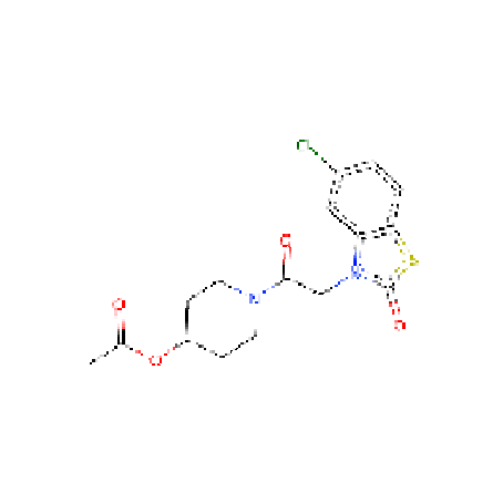 CC(=O)OC1CCN(C(=O)Cn2c(=O)sc3ccc(Cl)cc32)CC1